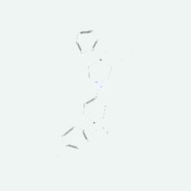 CCOC(=O)C1(c2ccccc2)CCN(C2=CCC(C#N)(c3ccc(F)cc3)CC2)CC1